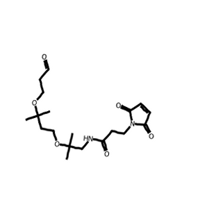 CC(C)(CCOC(C)(C)CNC(=O)CCN1C(=O)C=CC1=O)OCCC=O